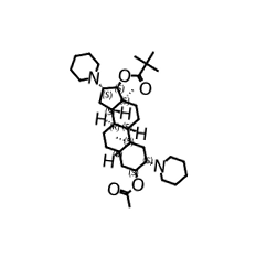 CC(=O)O[C@H]1C[C@@H]2CC[C@@H]3[C@H](CC[C@]4(C)[C@H](OC(=O)C(C)(C)C)[C@@H](N5CCCCC5)C[C@@H]34)[C@@]2(C)C[C@@H]1N1CCCCC1